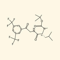 CC(C)C[C@H](C(=O)NCC(=O)c1cc(C(F)(F)F)cc(C(F)(F)F)c1)N(C)C(=O)OC(C)(C)C